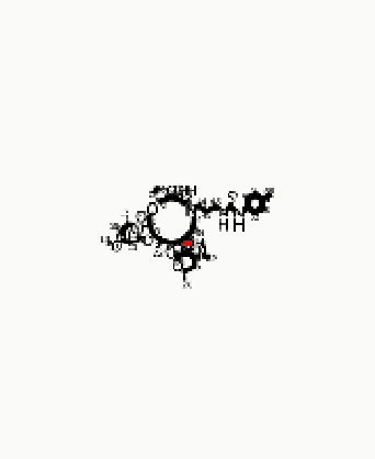 CC[C@H]1OC(=O)[C@H](C)[C@@H](O[C@@H](CCOC)O[C@@H](C)[C@@H](C)O)[C@H](C)[C@@H](O[C@@H]2O[C@H](C)C[C@H](N(C)C)[C@H]2O)[C@](C)(O)C[C@@H](C)CN(CCCNC(=S)Nc2ccc(C)cc2)[C@H](C)[C@@H](O)[C@]1(C)O